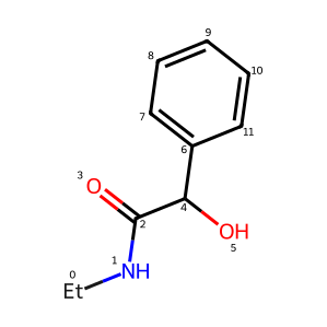 [CH2]CNC(=O)C(O)c1ccccc1